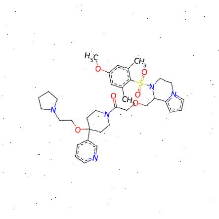 COc1cc(C)c(S(=O)(=O)N2CCn3cccc3C2COCC(=O)N2CCC(OCCN3CCCC3)(c3cccnc3)CC2)c(C)c1